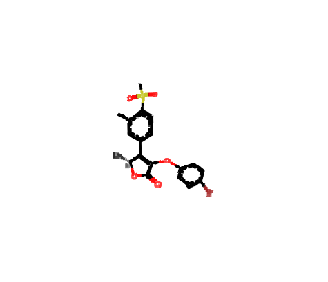 CC[C@H]1OC(=O)C(Oc2ccc(Br)cc2)=C1c1ccc(S(C)(=O)=O)c(C)c1